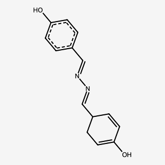 OC1=CCC(/C=N/N=C/c2ccc(O)cc2)C=C1